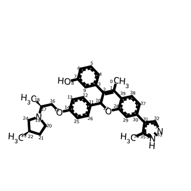 CC1=C(c2cccc(O)c2)C(c2ccc(OC[C@H](C)N3CC[C@@H](C)C3)cc2)Oc2cc(-c3cn[nH]c3C)ccc21